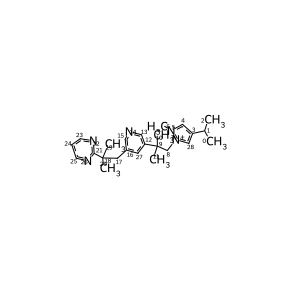 CC(C)c1cn(C)[n+](CC(C)(C)c2cncc(CC(C)(C)c3ncccn3)c2)c1